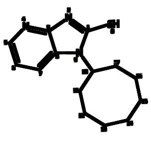 Sc1nc2ncccc2n1C1CCCCCCC1